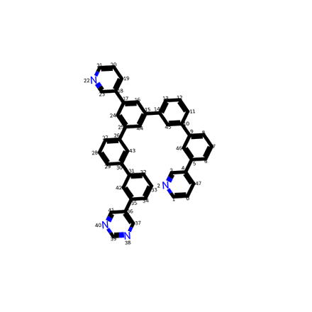 c1cncc(-c2cccc(-c3cccc(-c4cc(-c5cccnc5)cc(-c5cccc(-c6cccc(-c7cncnc7)c6)c5)c4)c3)c2)c1